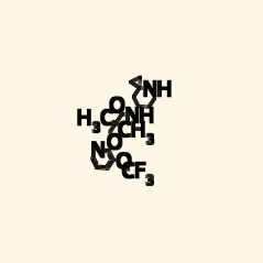 CC(C)(COc1ncccc1OC(F)(F)F)C(=O)NC1CCNC2(CC2)C1